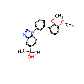 COc1cccc(-c2cccc(-n3cnc4cc(C(C)(C)O)ccc43)c2)c1OC